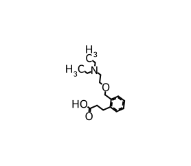 CCN(CC)CCOCc1ccccc1CCC(=O)O